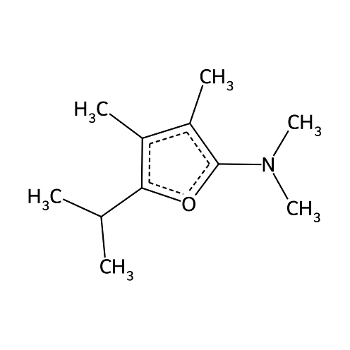 Cc1c(C(C)C)oc(N(C)C)c1C